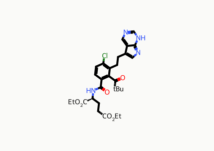 CCOC(=O)CC[C@H](NC(=O)c1ccc(Cl)c(CCc2cnc3[nH]cncc2-3)c1C(=O)C(C)(C)C)C(=O)OCC